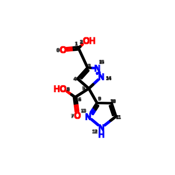 O=C(O)C1=CC(C(=O)O)(c2cc[nH]n2)N=N1